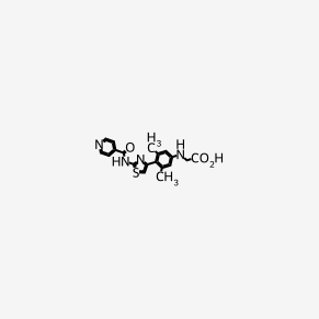 Cc1cc(NCC(=O)O)cc(C)c1-c1csc(NC(=O)c2ccncc2)n1